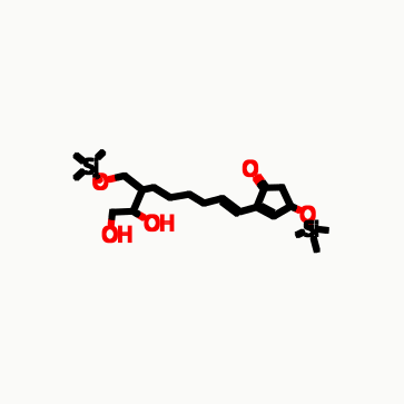 C[Si](C)(C)OCC(CCCCC=CC1=CC(O[Si](C)(C)C)CC1=O)C(O)CO